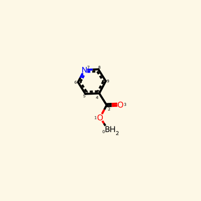 BOC(=O)c1ccncc1